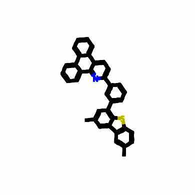 Cc1ccc2sc3c(-c4cccc(-c5ccc6c7ccccc7c7ccccc7c6n5)c4)cc(C)cc3c2c1